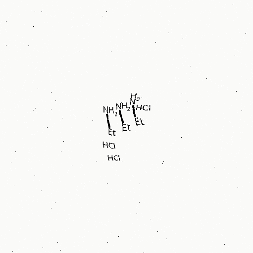 CCN.CCN.CCN.Cl.Cl.Cl